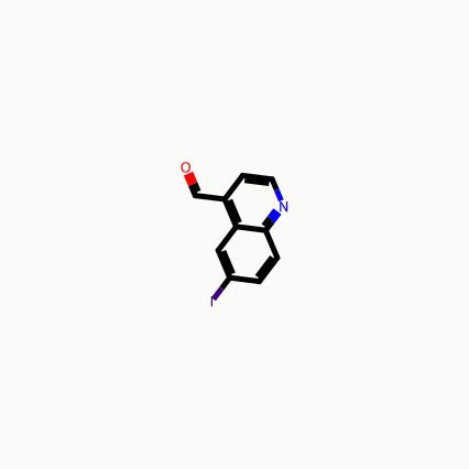 O=Cc1ccnc2ccc(I)cc12